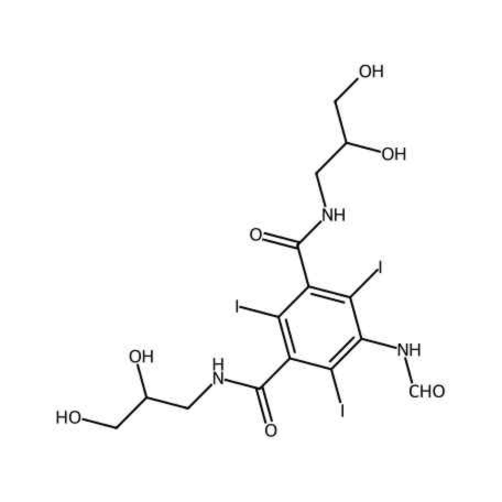 O=CNc1c(I)c(C(=O)NCC(O)CO)c(I)c(C(=O)NCC(O)CO)c1I